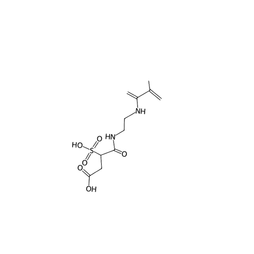 C=C(C)C(=C)NCCNC(=O)C(CC(=O)O)S(=O)(=O)O